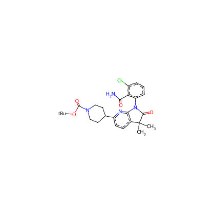 CC(C)(C)OC(=O)N1CCC(c2ccc3c(n2)N(c2cccc(Cl)c2C(N)=O)C(=O)C3(C)C)CC1